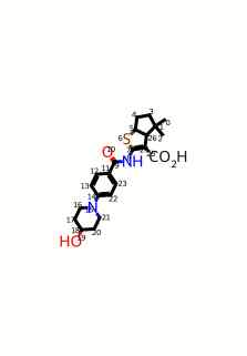 CC1(C)CCC2SC(NC(=O)c3ccc(N4CCC(O)CC4)cc3)=C(C(=O)O)C21